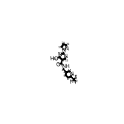 O=C(NCc1ccc(C(F)(F)F)nc1)c1cnc(-n2cccn2)nc1O